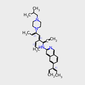 C=C=C(Nc1cc2cc(/C(C=C)=C/C)ccc2cn1)C(/C=C\C)=C/C(=C/C)N1CCN(CC(C)C)CC1